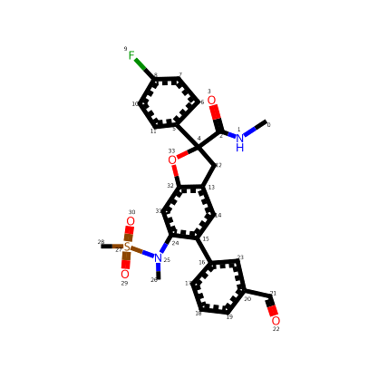 CNC(=O)C1(c2ccc(F)cc2)Cc2cc(-c3cccc(C=O)c3)c(N(C)S(C)(=O)=O)cc2O1